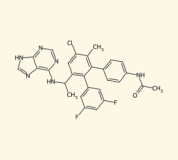 CC(=O)Nc1ccc(-c2c(C)c(Cl)cc(C(C)Nc3ncnc4[nH]cnc34)c2-c2cc(F)cc(F)c2)cc1